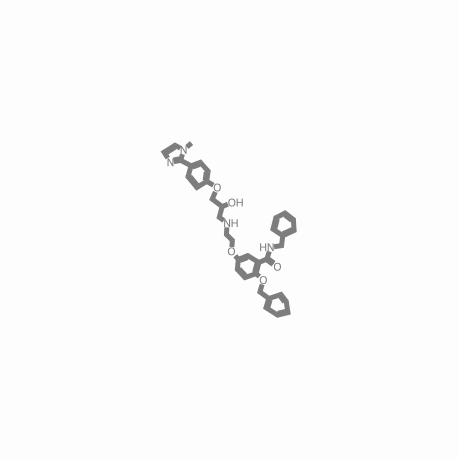 Cn1ccnc1-c1ccc(OCC(O)CNCCOc2ccc(OCc3ccccc3)c(C(=O)NCc3ccccc3)c2)cc1